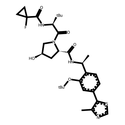 Cc1ncsc1-c1ccc([C@H](C)NC(=O)[C@@H]2C[C@@H](O)CN2C(=O)[C@@H](NC(=O)C2(F)CC2)C(C)(C)C)c(OC(C)(C)C)c1